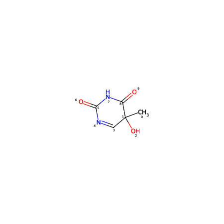 CC1(O)C=NC(=O)NC1=O